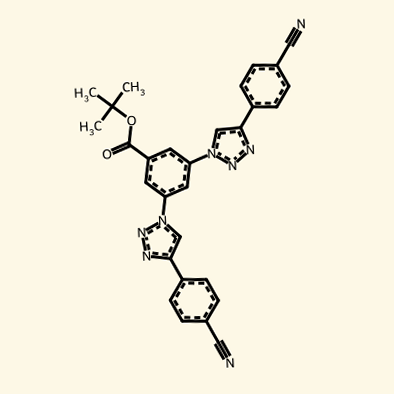 CC(C)(C)OC(=O)c1cc(-n2cc(-c3ccc(C#N)cc3)nn2)cc(-n2cc(-c3ccc(C#N)cc3)nn2)c1